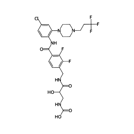 O=C(O)NCC(O)C(=O)NCc1ccc(C(=O)Nc2ccc(Cl)cc2N2CCN(CCC(F)(F)F)CC2)c(F)c1F